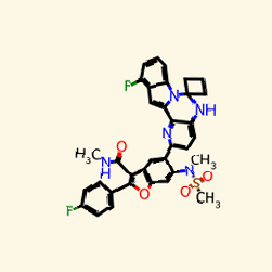 CNC(=O)c1c(-c2ccc(F)cc2)oc2cc(N(C)S(C)(=O)=O)c(-c3ccc4c(n3)-c3cc5c(F)cccc5n3C3(CCC3)N4)cc12